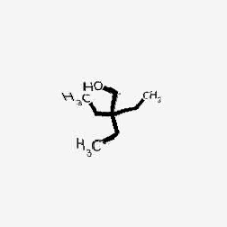 CCC([CH]O)(CC)CC